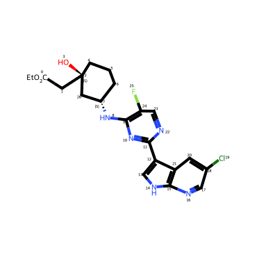 CCOC(=O)C[C@]1(O)CCC[C@H](Nc2nc(-c3c[nH]c4ncc(Cl)cc34)ncc2F)C1